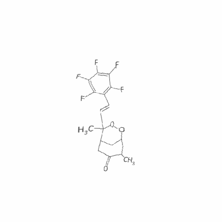 CC1C(=O)CC2CC1OOC2(C)C=Cc1c(F)c(F)c(F)c(F)c1F